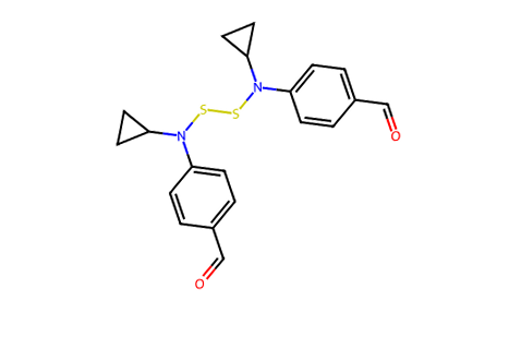 O=Cc1ccc(N(SSN(c2ccc(C=O)cc2)C2CC2)C2CC2)cc1